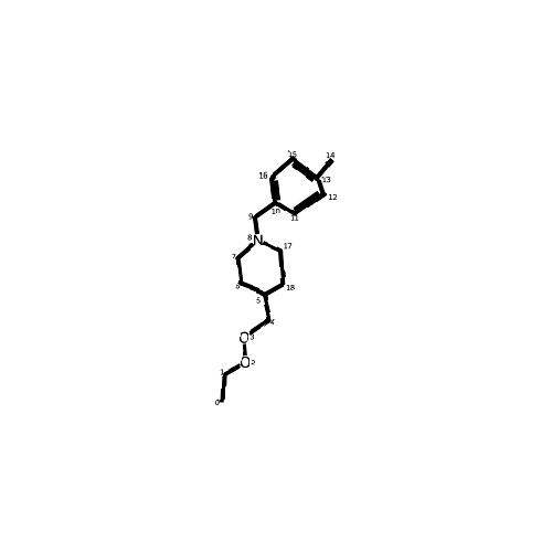 CCOOCC1CCN(Cc2ccc(C)cc2)CC1